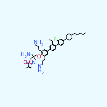 C=C(C)C(=O)OCC(CN)(CN)COc1c(CCCN)cc(-c2ccc(-c3ccc(C4CCC(CCCCC)CC4)cc3F)c(CC)c2)cc1CCCN